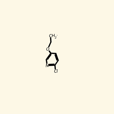 [CH2]COc1ccc(Cl)nc1